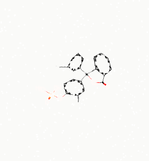 CC(C)c1cccc(C2(c3ccc(OP(=O)(O)O)c(C(C)C)c3)OC(=O)c3ccccc32)c1